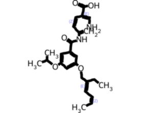 C=C(/C=C\C(=C/N)C(=O)O)NC(=O)c1cc(OC/C(=C/C=C\C)CC)cc(OC(C)C)c1